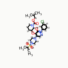 CC(C)COC(=O)N1CCCC(Oc2c(N3CCN(S(=O)(=O)C(C)C)CC3)cnn(-c3cccc(Cl)c3)c2=O)C1